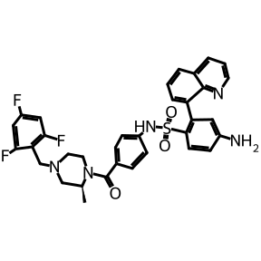 C[C@H]1CN(Cc2c(F)cc(F)cc2F)CCN1C(=O)c1ccc(NS(=O)(=O)c2ccc(N)cc2-c2cccc3cccnc23)cc1